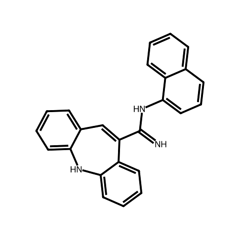 N=C(Nc1cccc2ccccc12)C1=Cc2ccccc2Nc2ccccc21